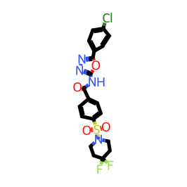 O=C(Nc1nnc(-c2ccc(Cl)cc2)o1)c1ccc(S(=O)(=O)N2CCC(F)(F)CC2)cc1